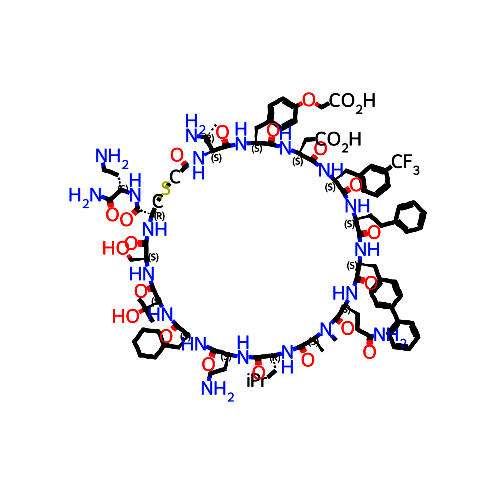 CC(C)C[C@H]1NC(=O)[C@H](C)N(C)C(=O)[C@H](CCC(N)=O)NC(=O)[C@H](Cc2ccc(-c3ccccc3)cc2)NC(=O)[C@H](CCc2ccccc2)NC(=O)[C@H](Cc2cccc(C(F)(F)F)c2)NC(=O)[C@H](CC(=O)O)NC(=O)[C@H](Cc2ccc(OCC(=O)O)cc2)NC(=O)[C@H]([C@@H](C)N)NC(=O)CSC[C@@H](C(=O)N[C@@H](CCN)C(N)=O)NC(=O)[C@H](CO)NC(=O)[C@H](C(C)(C)O)NC(=O)[C@H](CC2CCCCC2)NC(=O)[C@H](CCN)NC1=O